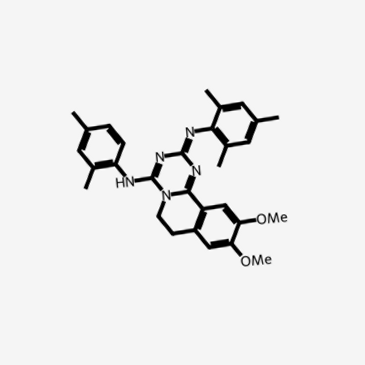 COc1cc2c(cc1OC)-c1nc(=Nc3c(C)cc(C)cc3C)nc(Nc3ccc(C)cc3C)n1CC2